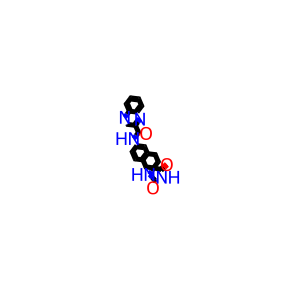 O=C1NC(=O)C2(CCc3cc(NC(=O)c4cnc5ccccc5n4)ccc3C2)N1